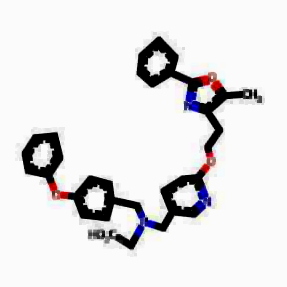 Cc1oc(-c2ccccc2)nc1CCOc1ccc(CN(CC(=O)O)Cc2ccc(Oc3ccccc3)cc2)cn1